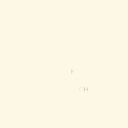 CP1C2CCCCC1CC2